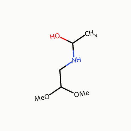 COC(CNC(C)O)OC